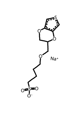 O=S(=O)([O-])CCCCOCC1COc2cscc2O1.[Na+]